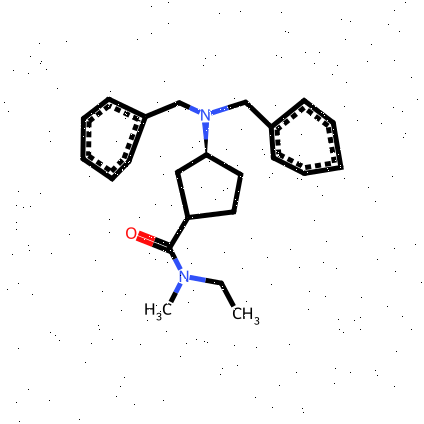 CCN(C)C(=O)C1CC[C@H](N(Cc2ccccc2)Cc2ccccc2)C1